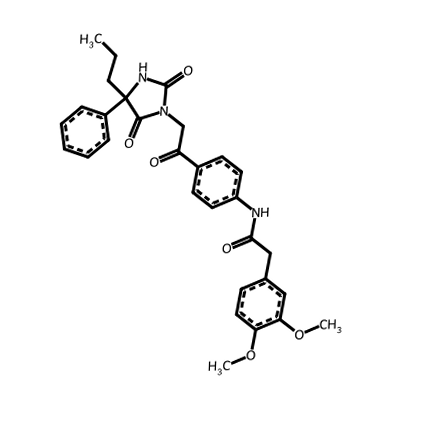 CCCC1(c2ccccc2)NC(=O)N(CC(=O)c2ccc(NC(=O)Cc3ccc(OC)c(OC)c3)cc2)C1=O